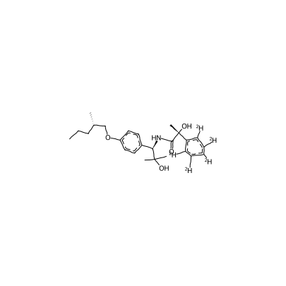 [2H]c1c([2H])c([2H])c([C@@](C)(O)C(=O)N[C@H](c2ccc(OC[C@@H](C)CCC)cc2)C(C)(C)O)c([2H])c1[2H]